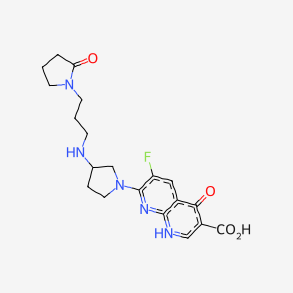 O=C(O)c1c[nH]c2nc(N3CCC(NCCCN4CCCC4=O)C3)c(F)cc2c1=O